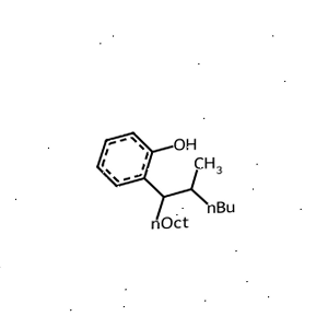 CCCCCCCCC(c1ccccc1O)C(C)CCCC